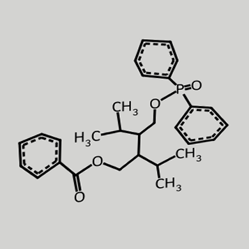 CC(C)C(COC(=O)c1ccccc1)C(COP(=O)(c1ccccc1)c1ccccc1)C(C)C